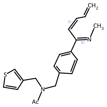 C=C/C=C\C(=N/C)c1ccc(CN(Cc2ccsc2)C(C)=O)cc1